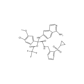 COc1cc(C(Nc2ccc3c(N)nccc3c2)(OC(=O)C(F)(F)F)C(=O)NCc2ccccc2S(=O)(=O)C2CC2)ccc1Cl